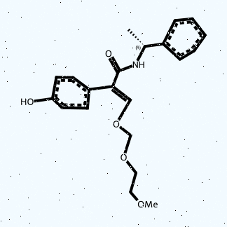 COCCOCOC=C(C(=O)N[C@H](C)c1ccccc1)c1ccc(O)cc1